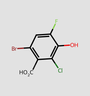 O=C(O)c1c(Br)cc(F)c(O)c1Cl